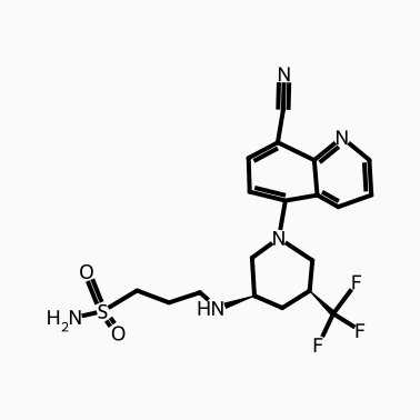 N#Cc1ccc(N2C[C@H](NCCCS(N)(=O)=O)C[C@H](C(F)(F)F)C2)c2cccnc12